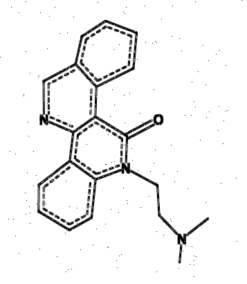 CN(C)CCn1c(=O)c2c3ccccc3cnc2c2ccccc21